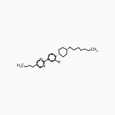 CCCCCCC[C@H]1CC[C@H](c2ccc(-c3ncc(CCCC)cn3)cc2F)CC1